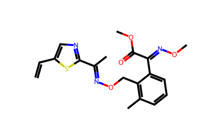 C=Cc1cnc(/C(C)=N/OCc2c(C)cccc2/C(=N\OC)C(=O)OC)s1